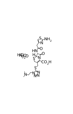 CN(C)CCn1nnnc1SCC1=C(C(=O)O)N2C(=O)[C@@H](NC(=O)Cc3csc(N)n3)[C@H]2SC1.Cl.O.O